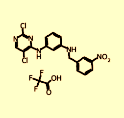 O=C(O)C(F)(F)F.O=[N+]([O-])c1cccc(CNc2cccc(Nc3nc(Cl)ncc3Cl)c2)c1